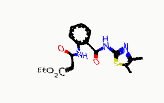 CCOC(=O)CC(=O)Nc1ccccc1C(=O)Nc1nc(C)c(C)s1